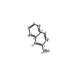 CC(C)(C)c1ncc2nccnc2n1